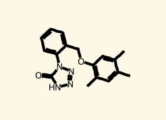 Cc1cc(C)c(OCc2ccccc2-n2nn[nH]c2=O)cc1C